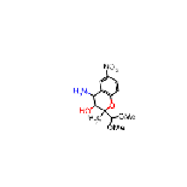 COC(OC)C1(C)Oc2ccc([N+](=O)[O-])cc2C(N)C1O